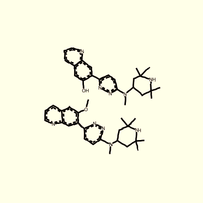 CN(c1ccc(-c2cc3ncccc3cc2O)nn1)C1CC(C)(C)NC(C)(C)C1.COc1cc2cccnc2cc1-c1ccc(N(C)C2CC(C)(C)NC(C)(C)C2)nn1